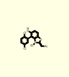 CCN1/C(=C/C(C)=O)Sc2ccc(O)c(-c3cc(Cl)ccc3Cl)c21